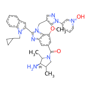 COc1cc(C(=O)N2CC(C)[C@@H](N)C2C)cc2nc(-c3cc4ccccc4n3CC3CC3)n(Cc3cnn(-c4ccc[n+](O)c4)c3)c12